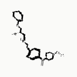 O=C(O)N1CCC(Nc2ccc(CCNC[C@H](O)COC3=CCCC=C3)cc2)CC1